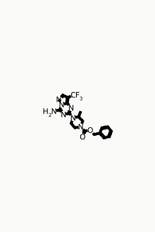 CC1CN(C(=O)OCc2ccccc2)CCN1c1nc(N)n2ncc(C(F)(F)F)c2n1